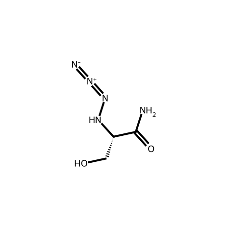 [N-]=[N+]=NN[C@@H](CO)C(N)=O